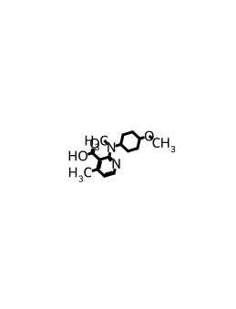 COC1CCC(N(C)c2nccc(C)c2C(=O)O)CC1